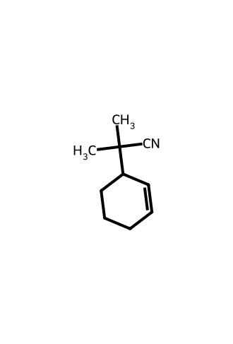 CC(C)(C#N)C1C=CCCC1